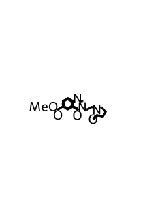 COC(=O)c1ccc2ncn(CCN3CCCC3=O)c(=O)c2c1